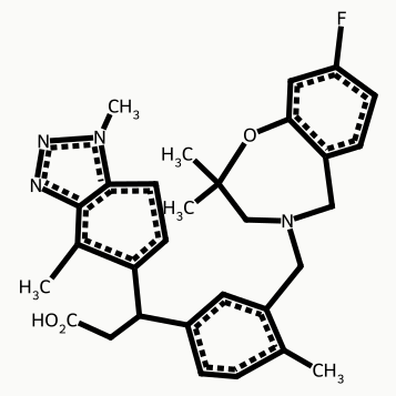 Cc1ccc(C(CC(=O)O)c2ccc3c(nnn3C)c2C)cc1CN1Cc2ccc(F)cc2OC(C)(C)C1